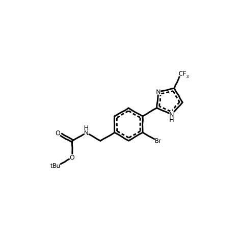 CC(C)(C)OC(=O)NCc1ccc(-c2nc(C(F)(F)F)c[nH]2)c(Br)c1